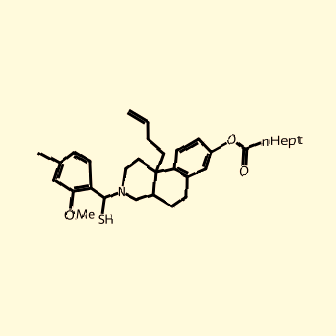 C=CCCC12CCN(C(S)c3ccc(C)cc3OC)CC1CCc1cc(OC(=O)CCCCCCC)ccc12